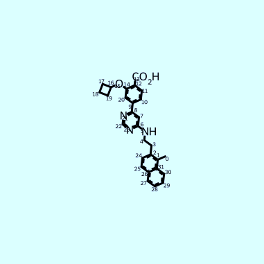 Cc1c(CCNc2cc(-c3ccc(C(=O)O)c(OC4CCC4)c3)ncn2)ccc2ccccc12